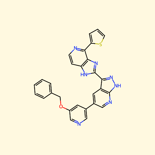 c1ccc(COc2cncc(-c3cnc4[nH]nc(-c5nc6c(-c7cccs7)nccc6[nH]5)c4c3)c2)cc1